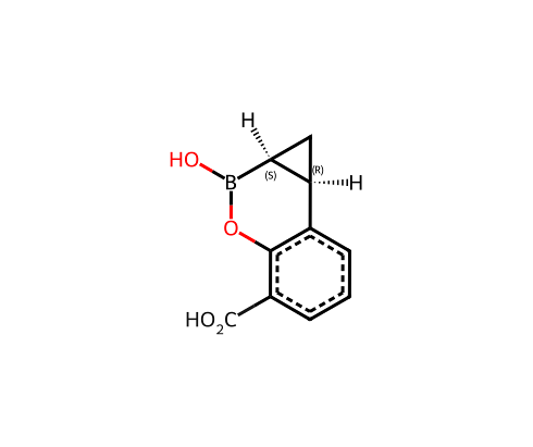 O=C(O)c1cccc2c1OB(O)[C@H]1C[C@@H]21